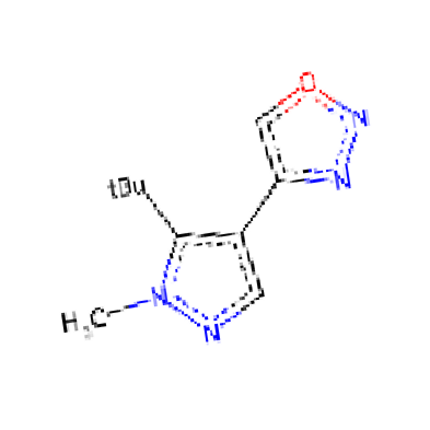 Cn1ncc(-c2conn2)c1C(C)(C)C